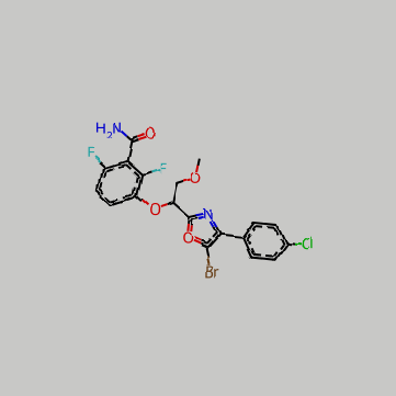 COCC(Oc1ccc(F)c(C(N)=O)c1F)c1nc(-c2ccc(Cl)cc2)c(Br)o1